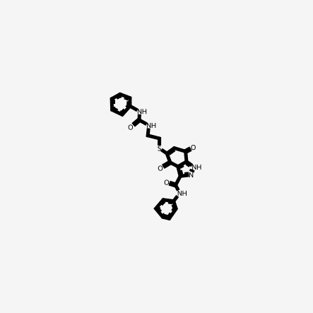 O=C(NCCSC1=CC(=O)c2[nH]nc(C(=O)Nc3ccccc3)c2C1=O)Nc1ccccc1